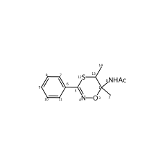 CC(=O)NC1(C)ON=C(c2ccccc2)SC1C